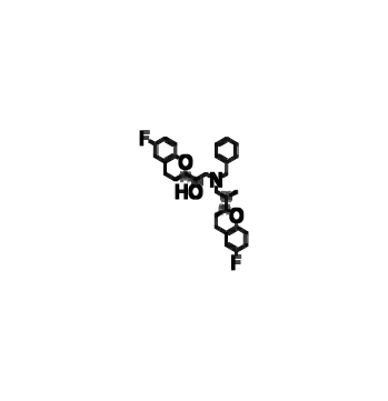 C[C@H](CN(Cc1ccccc1)C[C@@H](O)[C@H]1CCc2cc(F)ccc2O1)[C@@H]1CCc2cc(F)ccc2O1